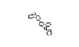 c1c(-c2ccc3oc4ccccc4c3c2)cc2c(c#1)CN(c1ccccn1)c1ccccc1-2